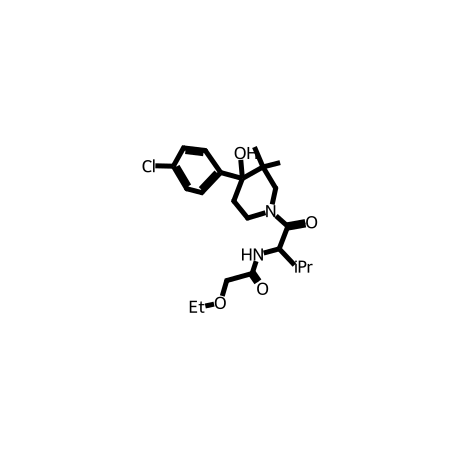 CCOCC(=O)NC(C(=O)N1CCC(O)(c2ccc(Cl)cc2)C(C)(C)C1)C(C)C